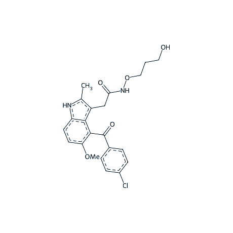 COc1ccc2[nH]c(C)c(CC(=O)NOCCCO)c2c1C(=O)c1ccc(Cl)cc1